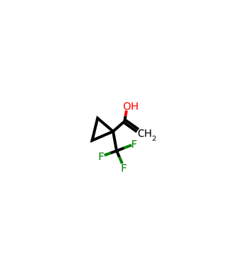 C=C(O)C1(C(F)(F)F)CC1